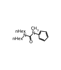 CCCCCCN(CCCCCC)C(=O)N(C)c1ccccc1